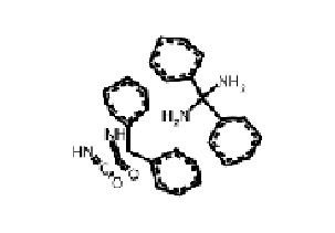 N=C=O.N=C=O.NC(N)(c1ccccc1)c1ccccc1.c1ccc(Cc2ccccc2)cc1